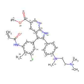 C=CC(=O)Nc1cc(-c2c(-c3ccc(N(C)CCN(C)C)cc3)[nH]c3ncc(C(=O)OC(C)C)cc23)cc(F)c1C